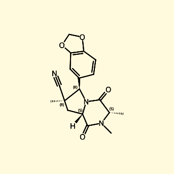 C[C@H]1C(=O)N2[C@@H](C[C@@](C)(C#N)[C@H]2c2ccc3c(c2)OCO3)C(=O)N1C